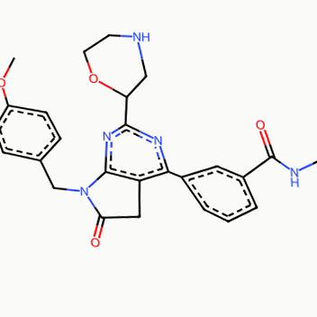 CNC(=O)c1cccc(-c2nc(C3CNCCO3)nc3c2CC(=O)N3Cc2ccc(OC)cc2)c1